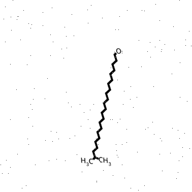 CC(C)CCCCCCCCCCCCCCCCCCCCC[O]